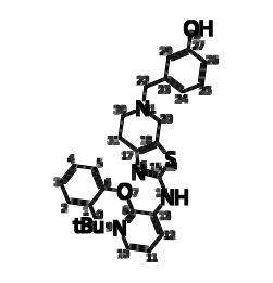 CC(C)(C)c1ccccc1Oc1ncccc1Nc1nc2c(s1)CN(Cc1cccc(O)c1)CC2